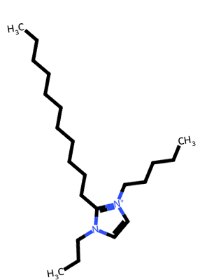 CCCCCCCCCCCc1n(CCC)cc[n+]1CCCCC